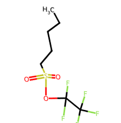 CCCCCS(=O)(=O)OC(F)(F)C(F)(F)F